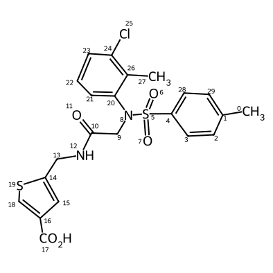 Cc1ccc(S(=O)(=O)N(CC(=O)NCc2cc(C(=O)O)cs2)c2cccc(Cl)c2C)cc1